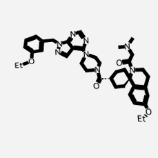 CCOc1cccc(Cn2ncc3c(N4CCN(C(=O)[C@H]5CC[C@]6(CC5)c5ccc(OCC)cc5CCN6C(=O)CN(C)C)CC4)ncnc32)c1